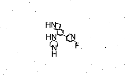 FCc1ccc(-c2cc(NC3CCNCC3)c3c(c2)=CCNC=3)cn1